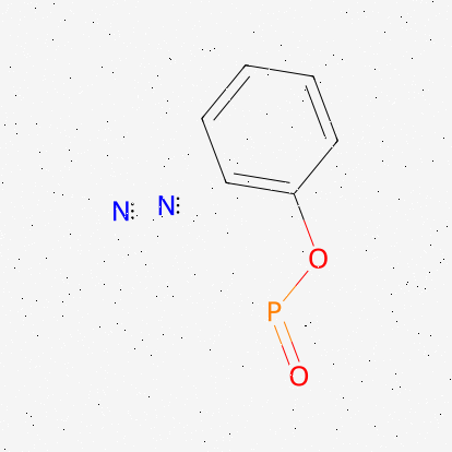 O=POc1ccccc1.[N].[N]